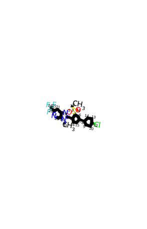 CCS(=O)(=O)c1cc(-c2ccc(Cl)cc2)ccc1-c1nc2cc(C(F)(F)F)ncc2n1C